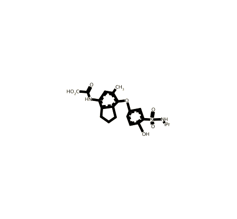 Cc1cc(NC(=O)C(=O)O)c2c(c1Oc1ccc(O)c(S(=O)(=O)NC(C)C)c1)CCC2